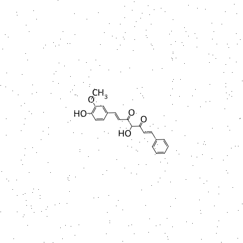 COc1cc(C=CC(=O)C(O)C(=O)C=Cc2ccccc2)ccc1O